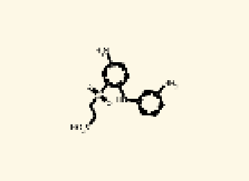 Nc1cccc(Nc2ccc(N)cc2S(=O)(=O)CCS(=O)(=O)O)c1